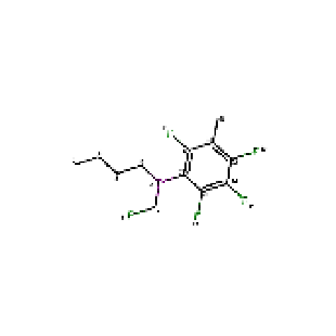 CCCCP(CF)c1c(F)c(C)c(F)c(F)c1F